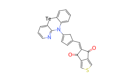 O=C1C(=CC2=CC=C(N3c4ccccc4[Te]c4cccnc43)C2)C(=O)c2cscc21